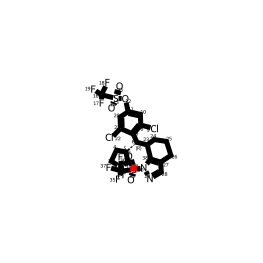 O=C1NCCC1[C@H](c1c(Cl)cc(OS(=O)(=O)C(F)(F)F)cc1Cl)C1CCCc2cnn(S(=O)(=O)C(F)(F)F)c21